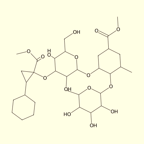 COC(=O)C1CC(C)C(OC2OC(C)C(O)C(O)C2O)C(OC2OC(CO)C(O)C(OC3(C(=O)OC)CC3C3CCCCC3)C2O)C1